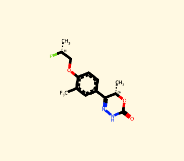 C[C@@H]1OC(=O)NN=C1c1ccc(OC[C@@H](C)F)c(C(F)(F)F)c1